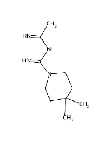 CC(=N)NC(=N)N1CCC(C)(C)CC1